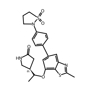 Cc1nc2cc(-c3ccc(N4CCCS4(=O)=O)cc3)cc(OC(C)[C@H]3CNC(=O)C3)c2s1